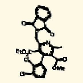 CCOC(=O)c1c(CN2C(=O)c3ccccc3C2=O)nc(C)c(C(=O)OC)c1-c1cccc(Cl)c1Cl